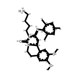 COc1cc2c(cc1OC)-c1cc(=Nc3c(C)cc(C)cc3C)n(CCCCN)c(=O)n1CC2